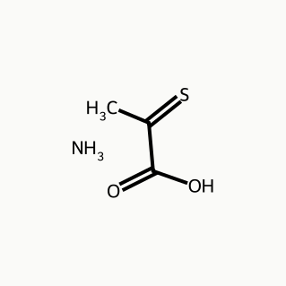 CC(=S)C(=O)O.N